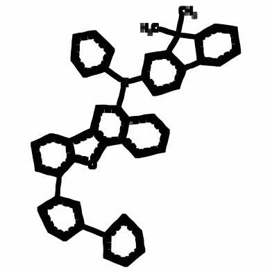 CC1(C)c2ccccc2-c2ccc(N(c3ccccc3)c3cc4c5cccc(-c6cccc(-c7ccccc7)c6)c5oc4c4ccccc34)cc21